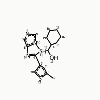 Cc1cc(C2=Nc3cncn3[SH]2C(O)C2CCCCC2)cs1